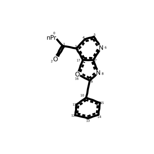 CCCC(=O)c1ccnc2nc(-c3ccccc3)oc12